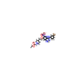 CCOC(=O)CN1CCC(CCOc2cc3ncnc(Nc4cccc(Br)c4)c3cc2[N+](=O)[O-])CC1